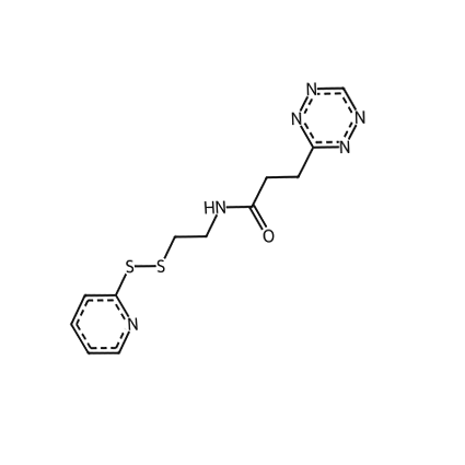 O=C(CCc1nncnn1)NCCSSc1ccccn1